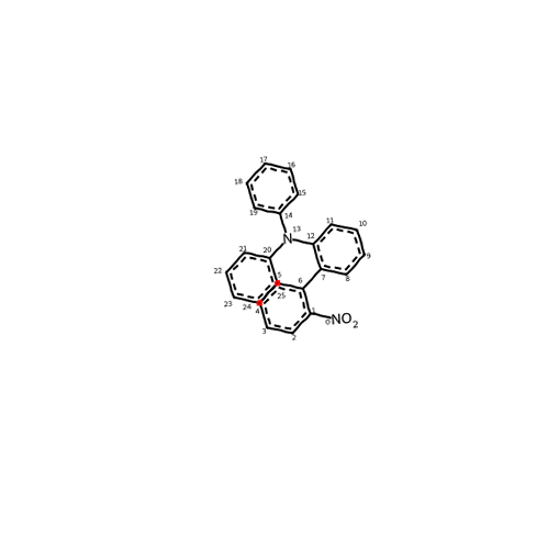 O=[N+]([O-])c1ccccc1-c1ccccc1N(c1ccccc1)c1ccccc1